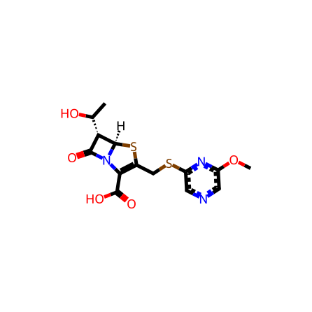 COc1cncc(SCC2=C(C(=O)O)N3C(=O)[C@H](C(C)O)[C@H]3S2)n1